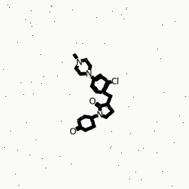 CN1CCN(c2ccc(CC3CCN(C4CCC(=O)CC4)C3=O)c(Cl)c2)CC1